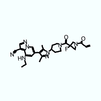 C=CC(=O)N1CC(F)(C(=O)N2CCC(n3nc(C)c(-c4cc(NCC)c5c(C#N)cnn5c4)c3C)CC2)C1